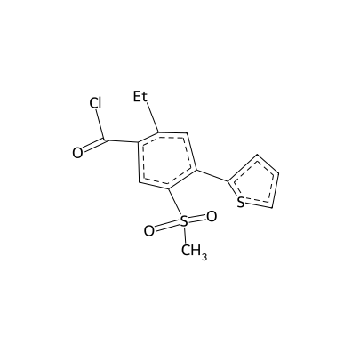 CCc1cc(-c2cccs2)c(S(C)(=O)=O)cc1C(=O)Cl